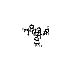 Clc1ccc2[nH]c(N=C3NC4(c5ccccn5)NC(=Nc5nc6ccccc6[nH]5)NC4(c4ccccn4)N3)nc2c1.O=C(O)C(F)(F)F.O=C(O)C(F)(F)F